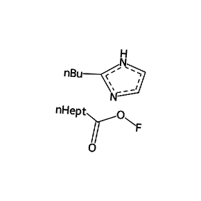 CCCCCCCC(=O)OF.CCCCc1ncc[nH]1